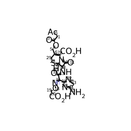 CC(=O)CC(=O)OCC1=C(C(=O)O)N2C(=O)[C@@H](NC(=O)/C(=N/OCC(=O)O)c3nsc(N)n3)[C@H]2SC1